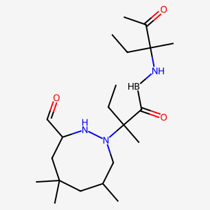 CCC(C)(NBC(=O)C(C)(CC)N1CC(C)CC(C)(C)CC(C=O)N1)C(C)=O